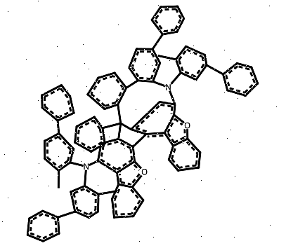 Cc1ccc(-c2ccccc2)cc1N1c2cc(-c3ccccc3)ccc2-c2ccccc2C2(c3ccccc3)c3cc(N(c4cc(-c5ccccc5)ccc4C)c4cc(-c5ccccc5)ccc4C)c4c(oc5ccccc54)c3-c3c2cc1c1oc2ccccc2c31